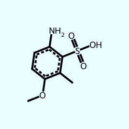 COc1ccc(N)c(S(=O)(=O)O)c1C